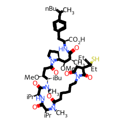 CCCCC(C)c1ccc(C[C@H](NC(=O)[C@H](C)[C@@H](OC)[C@@H]2CCCN2C(=O)C[C@@H](OC)[C@H]([C@@H](C)CC)N(C)C(=O)[C@@H](NC(=O)[C@H](C(C)C)N(C)C(=O)CCCCCN2C(=O)CC(C(S)(CC)CC)C2=O)C(C)C)C(=O)O)cc1